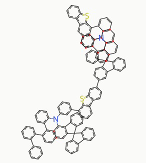 C1=CCC(N(C2=CC=CC3C2c2ccccc2C32c3ccccc3-c3cc(-c4ccc5c(c4)sc4c(-c6cccc(N(c7ccccc7-c7ccccc7-c7ccccc7-c7ccccc7)c7cccc8c7-c7ccccc7C87c8ccccc8-c8ccccc87)c6)cccc45)ccc32)c2ccccc2-c2ccccc2C2C=CC=CC2c2ccccc2)C(c2cccc3c2sc2ccccc23)=C1